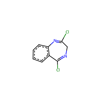 ClC1=Nc2ccccc2C(Cl)=NC1